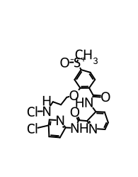 C[S+]([O-])c1ccc(C(=O)Nc2cccnc2C(=O)Nc2ccc(Cl)cn2)c(OCCCNCl)c1